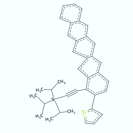 CC(C)[Si](C#Cc1c(-c2cccs2)ccc2cc3cc4cc5ccccc5cc4cc3cc12)(C(C)C)C(C)C